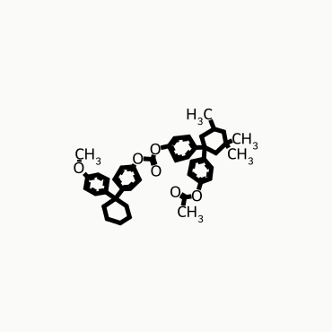 COc1ccc(C2(c3ccc(OC(=O)Oc4ccc(C5(c6ccc(OC(C)=O)cc6)CC(C)CC(C)(C)C5)cc4)cc3)CCCCC2)cc1